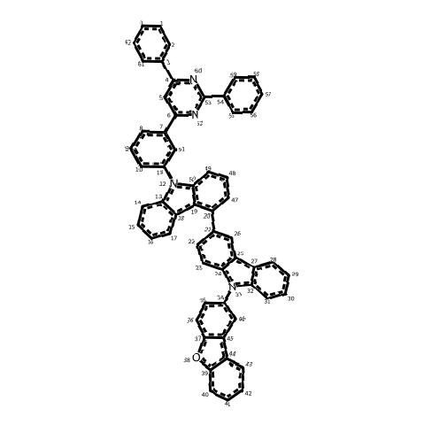 c1ccc(-c2cc(-c3cccc(-n4c5ccccc5c5c(-c6ccc7c(c6)c6ccccc6n7-c6ccc7oc8ccccc8c7c6)cccc54)c3)nc(-c3ccccc3)n2)cc1